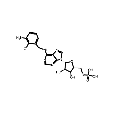 Nc1cccc(CNc2ncnc3c2ncn3[C@@H]2O[C@H](COP(=O)(O)O)[C@@H](O)[C@H]2O)c1Cl